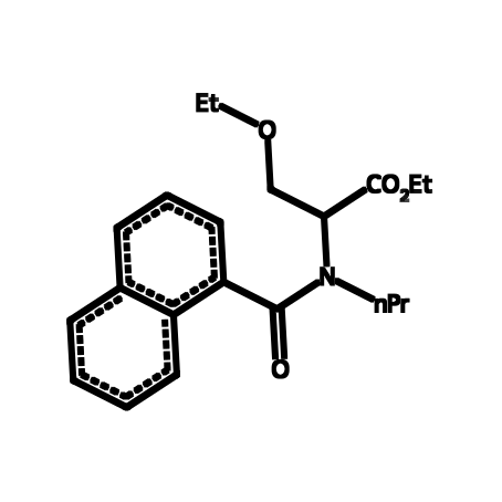 CCCN(C(=O)c1cccc2ccccc12)C(COCC)C(=O)OCC